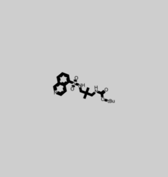 CC(C)(CNC(=O)OC(C)(C)C)CNS(=O)(=O)c1cccc2cnccc12